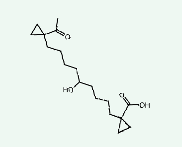 CC(=O)C1(CCCCC(O)CCCCC2(C(=O)O)CC2)CC1